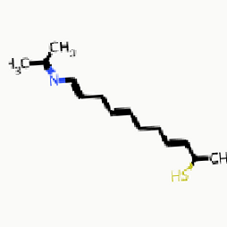 CC(C)=N/C=C/CC=CCC/C=C/C(C)S